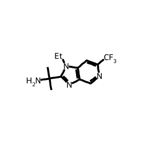 CCn1c(C(C)(C)N)nc2cnc(C(F)(F)F)cc21